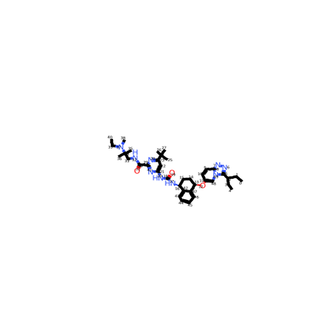 CCC(CC)c1nnc2ccc(O[C@@H]3CC[C@H](NC(=O)Nc4cc(C(C)(C)C)nc(C(=O)NCC(C)(C)N(C)CC)n4)c4ccccc43)cn12